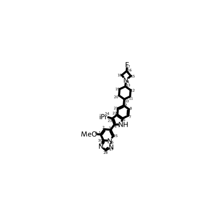 COc1cc(-c2[nH]c3ccc(C4CCC(N5CC(F)C5)CC4)cc3c2C(C)C)cn2ncnc12